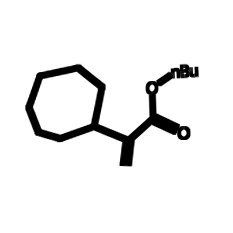 C=C(C(=O)OCCCC)C1CCCCCC1